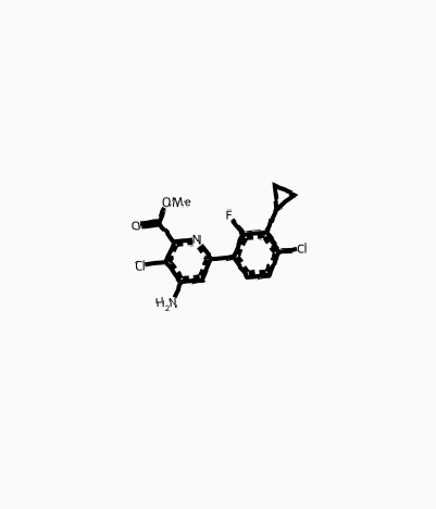 COC(=O)c1nc(-c2ccc(Cl)c(C3CC3)c2F)cc(N)c1Cl